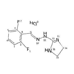 Cl.Fc1cccc(F)c1C=NNC1=NCCN1